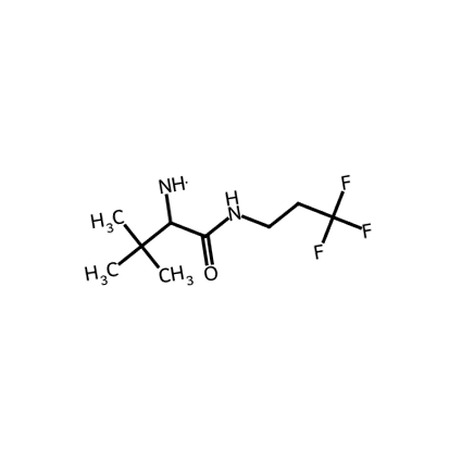 CC(C)(C)C([NH])C(=O)NCCC(F)(F)F